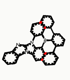 c1ccc(-c2cccc(-c3ccccc3)c2B2c3ccccc3-n3c4c2cccc4n2c4ccccc4nc32)cc1